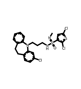 CN=S(=O)(NCCCN1c2ccccc2CCc2ccc(Cl)cc21)c1cc(Cl)sc1Cl